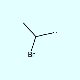 [CH2]C(C)Br